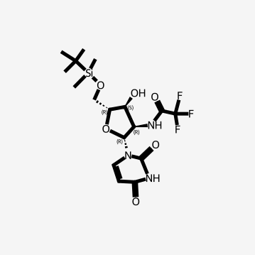 CC(C)(C)[Si](C)(C)OC[C@H]1O[C@@H](n2ccc(=O)[nH]c2=O)[C@H](NC(=O)C(F)(F)F)[C@@H]1O